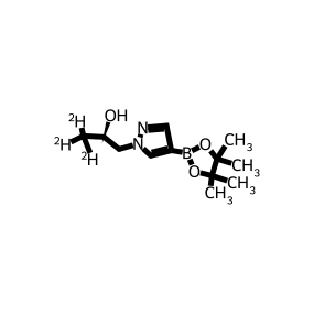 [2H]C([2H])([2H])[C@@H](O)Cn1cc(B2OC(C)(C)C(C)(C)O2)cn1